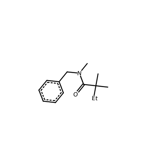 CCC(C)(C)C(=O)N(C)Cc1ccccc1